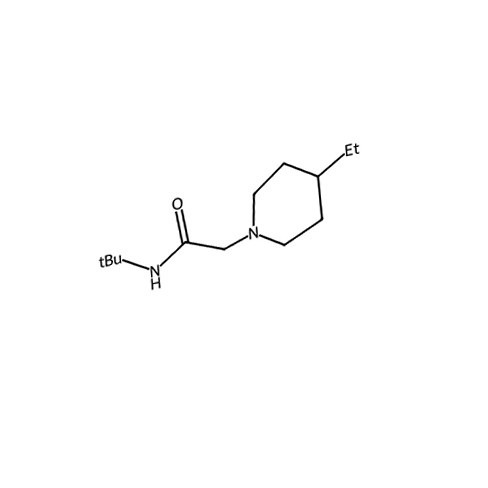 CCC1CCN(CC(=O)NC(C)(C)C)CC1